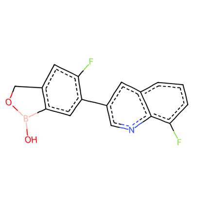 OB1OCc2cc(F)c(-c3cnc4c(F)cccc4c3)cc21